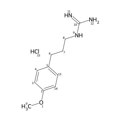 COc1ccc(CCCNC(=N)N)cc1.Cl